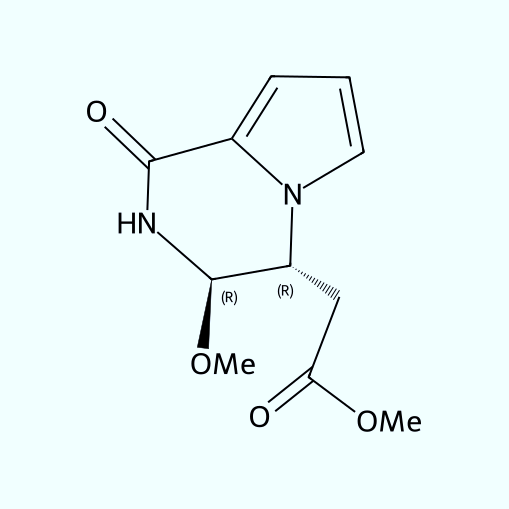 COC(=O)C[C@@H]1[C@@H](OC)NC(=O)c2cccn21